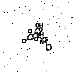 O=C(O)C[C@H](NC(=O)c1csc(-c2ccccc2)n1)c1ccc(Cl)cc1Cl